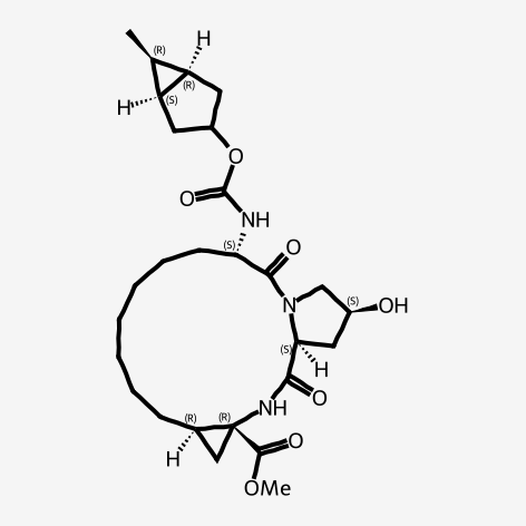 COC(=O)[C@@]12C[C@H]1CCCCCCC[C@H](NC(=O)OC1C[C@@H]3[C@H](C)[C@@H]3C1)C(=O)N1C[C@@H](O)C[C@H]1C(=O)N2